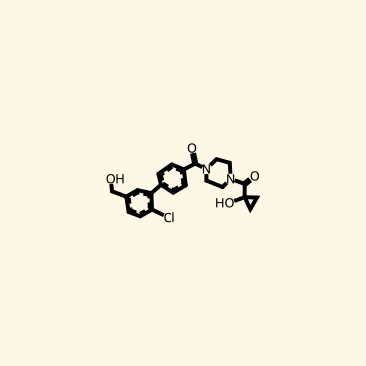 O=C(c1ccc(-c2cc(CO)ccc2Cl)cc1)N1CCN(C(=O)C2(O)CC2)CC1